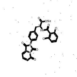 COC(=O)[C@H](Cc1ccc(N2C(=O)c3cccc(=O)n3C2=O)cc1)NC(=O)c1c(Cl)cccc1Cl